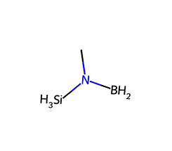 BN(C)[SiH3]